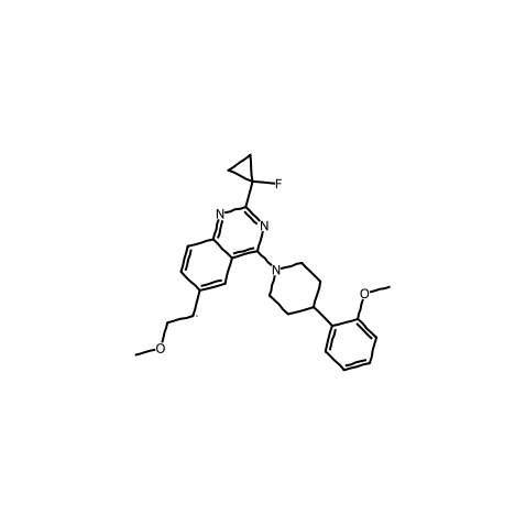 COC[CH]c1ccc2nc(C3(F)CC3)nc(N3CCC(c4ccccc4OC)CC3)c2c1